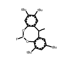 CC1c2cc(C(C)(C)C)c(C(C)(C)C)cc2OP(F)Oc2c1cc(C(C)(C)C)cc2C(C)(C)C